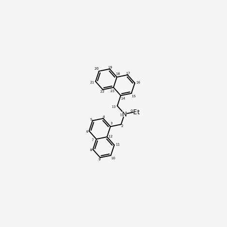 CCN(Cc1cccc2ccccc12)Cc1cccc2ccccc12